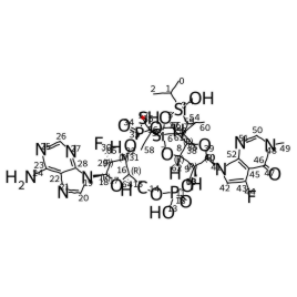 CC(C)[Si](O)(O[Si](O[C@H]1[C@H]2OP(=O)(O)OC[C@H]3O[C@@H](n4cnc5c(N)ncnc54)[C@H](F)[C@@H]3OP(=O)(S)OC[C@H]1O[C@H]2n1cc(F)c2c(=O)n(C)cnc21)(C(C)C)C(C)C)C(C)C